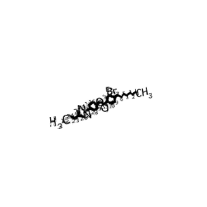 CCCCCCCCc1ccc(C(=O)Oc2ccc(-c3ncc(CCC)cn3)cc2)cc1Br